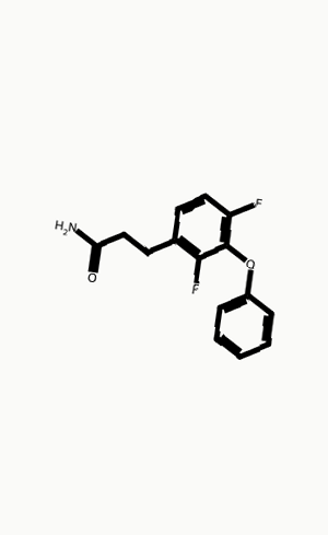 NC(=O)C[CH]c1ccc(F)c(Oc2ccccc2)c1F